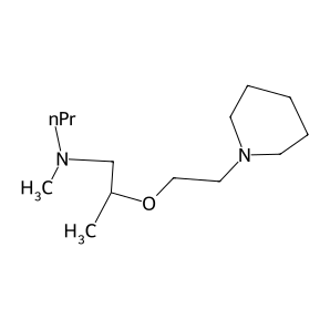 CCCN(C)CC(C)OCCN1CCCCC1